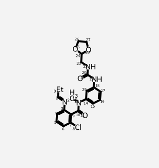 CC/C=N/c1cccc(Cl)c1C(=O)N(C)c1cccc(NC(=O)NCC2OCCO2)c1